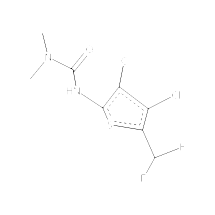 CN(C)C(=O)Nc1sc(C(F)F)c(Cl)c1Cl